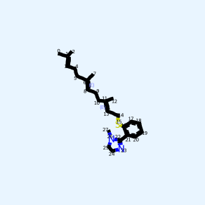 CC(C)=CCC/C(C)=C/CC/C(C)=C/CSc1ccccc1C1=NCCN1C